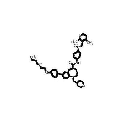 CCCCOCCOc1ccc(-c2ccc3c(c2)/C=C(/C(=O)Nc2ccc([S@+]([O-])Cc4c(C)ccnc4C)cc2)CCCN3CC2CCOCC2)cc1